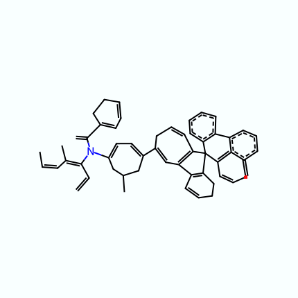 C=C/C(=C(C)\C=C/C)N(C(=C)C1=CC=CCC1)C1=CC=C(C2=CC3=C(C=CC2)C2(C4=C3C=CCC4)C(/C=C\C)=c3c(cccc3=C)-c3ccccc32)CC(C)C1